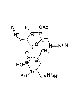 CC(=O)O[C@@H]1[C@@H](CN=[N+]=[N-])O[C@H](O[C@H]2[C@H](O)[C@@H](OC(C)=O)C(N=[N+]=[N-])C[C@@H]2C)C(N=[N+]=[N-])[C@@H]1F